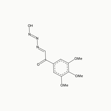 COc1cc(C(=O)C=NN=NO)cc(OC)c1OC